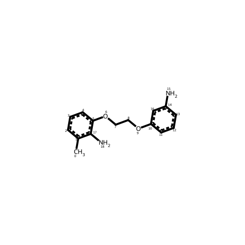 Cc1cccc(OCCOc2cccc(N)c2)c1N